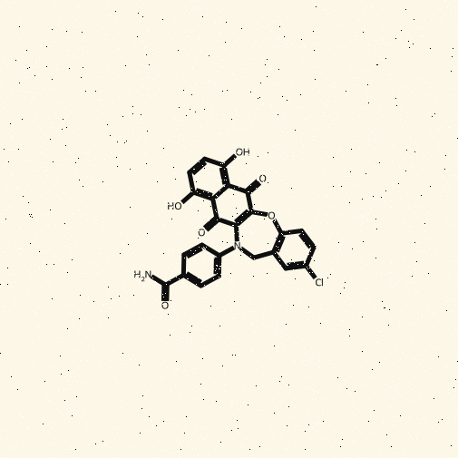 NC(=O)c1ccc(N2Cc3cc(Cl)ccc3OC3=C2C(=O)c2c(O)ccc(O)c2C3=O)cc1